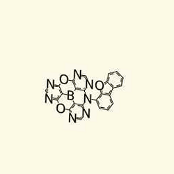 c1ccc2c(c1)oc1c(N3c4ncnc5c4B4c6c(ncnc6Oc6ncnc3c64)O5)cccc12